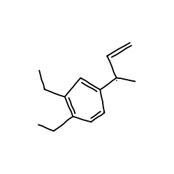 C=C[C](C)c1ccc(CC)c(CC)c1